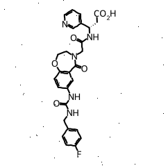 O=C(O)C[C@H](NC(=O)CN1CCOc2ccc(NC(=O)NCc3ccc(F)cc3)cc2C1=O)c1cccnc1